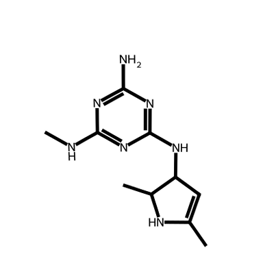 CNc1nc(N)nc(NC2C=C(C)NC2C)n1